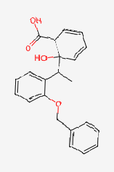 CC(c1ccccc1OCc1ccccc1)C1(O)C=CC=CC1C(=O)O